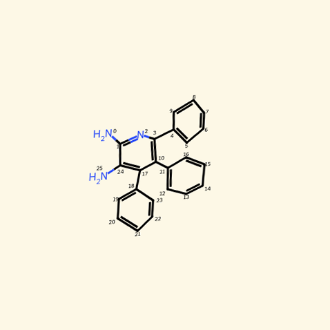 Nc1nc(-c2ccccc2)c(-c2ccccc2)c(-c2ccccc2)c1N